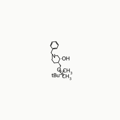 CC(C)(C)[Si](C)(C)OC[C@H]1CCN(Cc2ccccc2)C[C@@H]1O